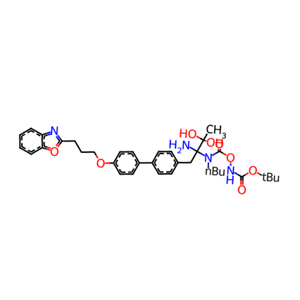 CCCCN(C(=O)ONC(=O)OC(C)(C)C)C(N)(Cc1ccc(-c2ccc(OCCCc3nc4ccccc4o3)cc2)cc1)C(C)(O)O